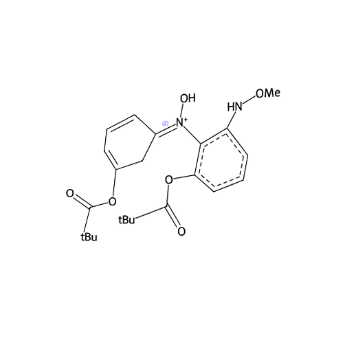 CONc1cccc(OC(=O)C(C)(C)C)c1/[N+](O)=C1/C=CC=C(OC(=O)C(C)(C)C)C1